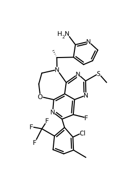 CSc1nc2c3c(nc(-c4c(C(F)(F)F)ccc(C)c4Cl)c(F)c3n1)OCCN2[C@H](C)c1cccnc1N